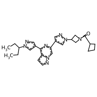 CCC(CC)n1cc(-c2nc(-c3cnn(C4CN(C(=O)C5CCC5)C4)c3)cn3nccc23)cn1